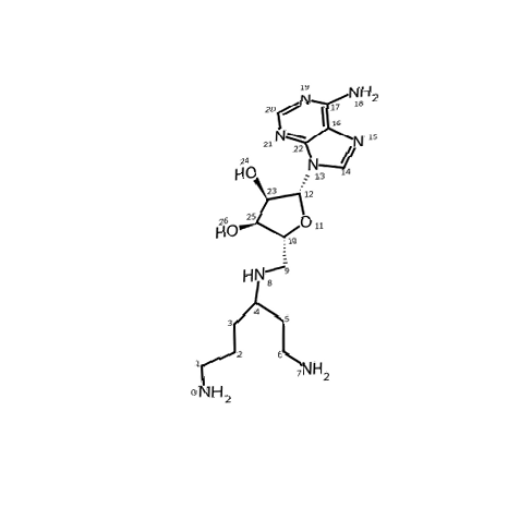 NCCCC(CCN)NC[C@H]1O[C@@H](n2cnc3c(N)ncnc32)[C@H](O)[C@@H]1O